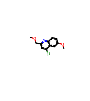 COCc1cc(Cl)c2cc(OC)ccc2n1